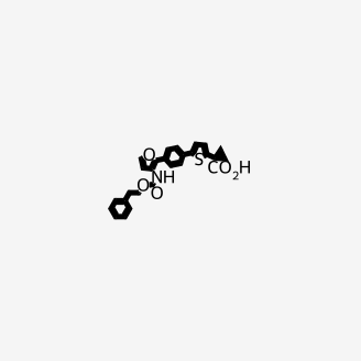 O=C(Nc1ccoc1-c1ccc(-c2ccc(C3(C(=O)O)CC3)s2)cc1)OCCc1ccccc1